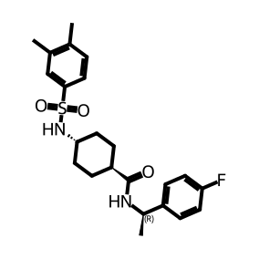 Cc1ccc(S(=O)(=O)N[C@H]2CC[C@H](C(=O)N[C@H](C)c3ccc(F)cc3)CC2)cc1C